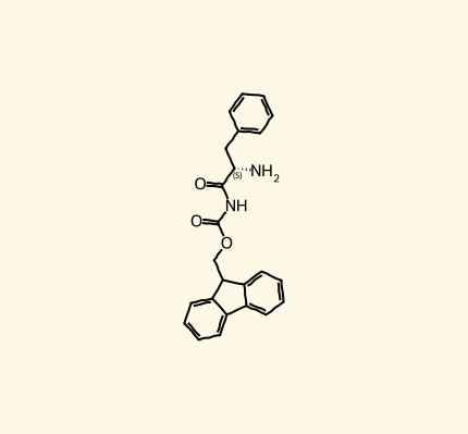 N[C@@H](Cc1ccccc1)C(=O)NC(=O)OCC1c2ccccc2-c2ccccc21